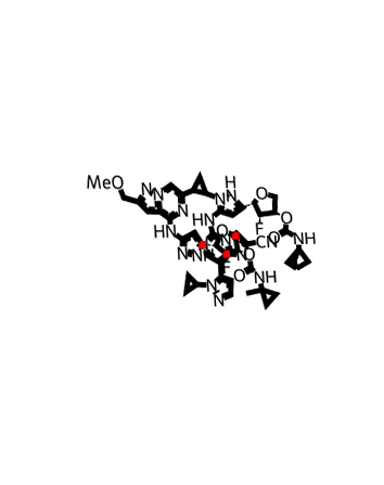 COCc1cc2c(Nc3cc([C@@H]4OC[C@H](OC(=O)NC5(C)CC5)[C@H]4F)[nH]n3)nc(C3CC3[n+]3[nH]c([C@@H]4OC[C@H](OC(=O)NC56CC(C5)C6)[C@@H]4F)cc3Nc3ncc(-c4ccnn4C4CC4)c4nc(C#N)cn34)cn2n1